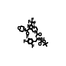 CC(C)(C)OC(=O)N[C@@H](CC(=O)N1CCn2c(C(F)(F)F)nc(C(=O)N3CCOCC3)c2C1)Cc1cc(F)c(F)cc1F